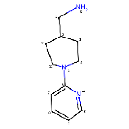 NCC1CCN(c2ccccn2)CC1